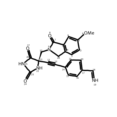 COc1ccc2c(c1)C(=O)N(C[C@@]1(C#Cc3ccc(C=N)cc3)NC(=O)NC1=O)C2